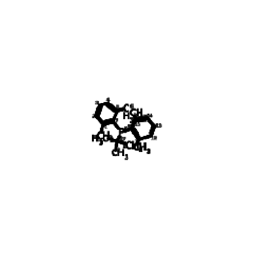 Cc1cccc(C)c1P(c1c(C)cccc1C)C(C)(C)C